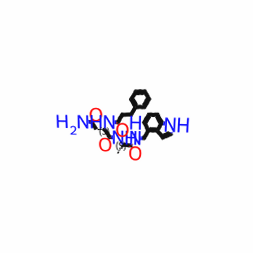 C[C@H](NC(=O)[C@H](CC(N)=O)NC(=O)CCc1ccccc1)C(=O)NCc1cccc2[nH]ccc12